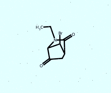 CCN1C(=O)C2CC(=O)C1C2Br